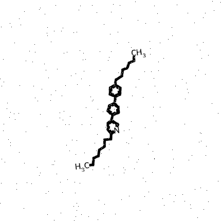 CCCCCCCCc1ccc(-c2ccc(-c3ccc(CCCCCCC)cc3)cc2)cn1